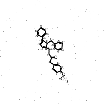 COc1ccc(CC(=O)CCC2=CC=C(c3ccccc3)C2Cc2ccccc2)cc1